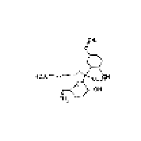 C=CC1CCC(O)C(C(CCCCCC(=O)O)(C(=O)O)C2CC(C=C)CCC2O)C1